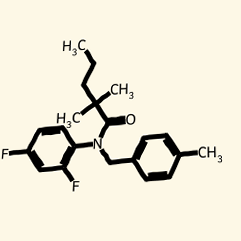 CCCC(C)(C)C(=O)N(Cc1ccc(C)cc1)c1ccc(F)cc1F